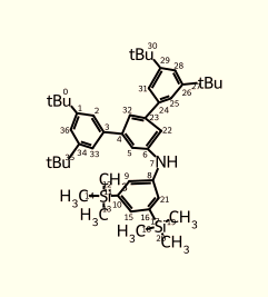 CC(C)(C)c1cc(-c2cc(Nc3cc([Si](C)(C)C)cc([Si](C)(C)C)c3)cc(-c3cc(C(C)(C)C)cc(C(C)(C)C)c3)c2)cc(C(C)(C)C)c1